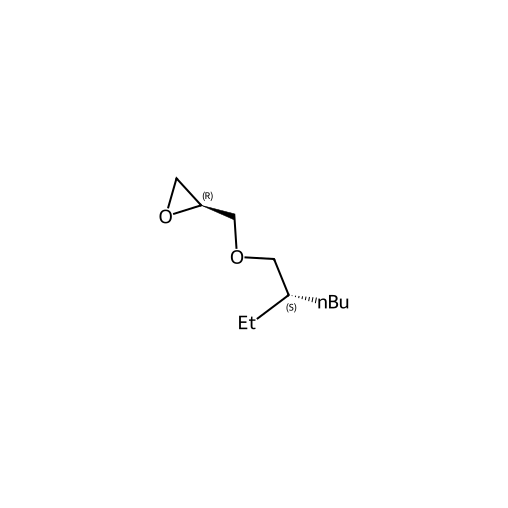 CCCC[C@H](CC)COC[C@@H]1CO1